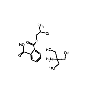 CC(Cl)COC(=O)c1ccccc1C(=O)O.NC(CO)(CO)CO